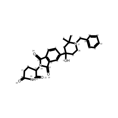 CC1(C)CC(O)(c2ccc3c(c2)C(=O)N(C2CCC(=O)NC2=O)C3=O)CCN1Cc1ccccc1